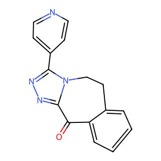 O=C1c2ccccc2CCn2c1nnc2-c1ccncc1